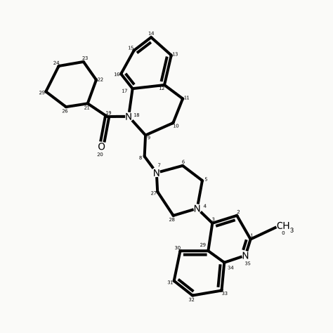 Cc1cc(N2CCN(CC3CCc4ccccc4N3C(=O)C3CCCCC3)CC2)c2ccccc2n1